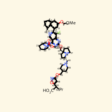 CCc1cccc2cc(OCOC)cc(-c3ncc4c(N5CC6CCC(C5)N6C(=O)OC(C)(C)C)nc(OC[C@@]56CCCN5[C@H](CN5CCC(COc7cc(C(C(=O)O)C(C)C)on7)CC5)CC6)nc4c3F)c12